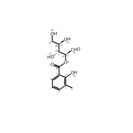 Cc1cccc(C(=O)O[C@H](C=O)[C@H](O)[C@H](O)CO)c1O